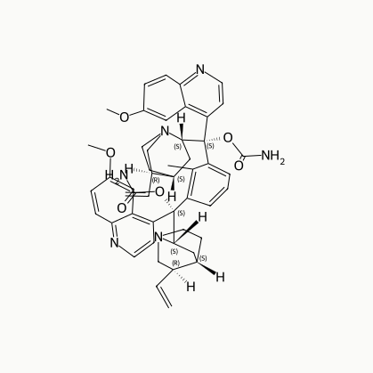 C=C[C@H]1CN2CC[C@H]1C[C@H]2[C@](OC(N)=O)(c1cccc([C@](OC(N)=O)(c2ccnc3ccc(OC)cc23)[C@@H]2C[C@@H]3CCN2C[C@@H]3C=C)c1C)c1ccnc2ccc(OC)cc12